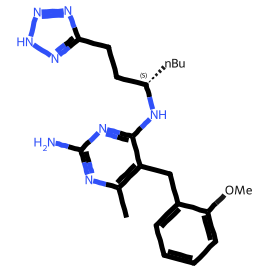 CCCC[C@@H](CCc1nn[nH]n1)Nc1nc(N)nc(C)c1Cc1ccccc1OC